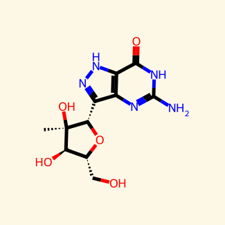 C[C@@]1(O)[C@H](O)[C@@H](CO)O[C@H]1c1n[nH]c2c(=O)[nH]c(N)nc12